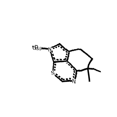 CC1(C)CCc2cn(C(C)(C)C)c3ncnc1c23